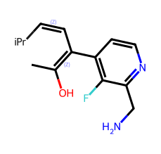 C/C(O)=C(\C=C/C(C)C)c1ccnc(CN)c1F